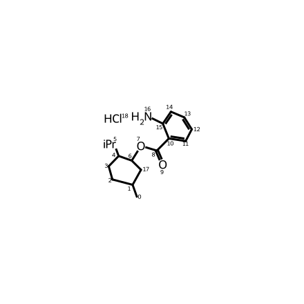 CC1CCC(C(C)C)C(OC(=O)c2ccccc2N)C1.Cl